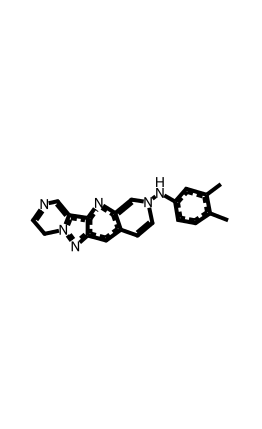 Cc1ccc(NN2C=Cc3cc4nn5c(c4nc3=C2)=CN=CC5)cc1C